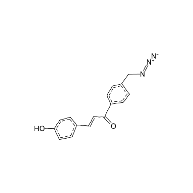 [N-]=[N+]=NCc1ccc(C(=O)C=Cc2ccc(O)cc2)cc1